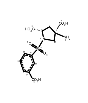 N[C@]1(C(=O)O)C[C@@H](C(=O)O)N(S(=O)(=O)c2cccc(C(=O)O)c2)C1